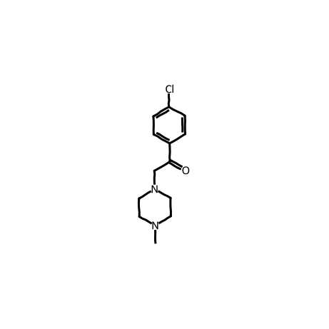 CN1CCN(CC(=O)c2ccc(Cl)cc2)CC1